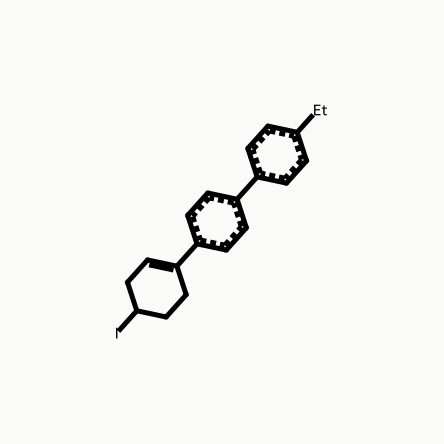 CCc1ccc(-c2ccc(C3=CCC(I)CC3)cc2)cc1